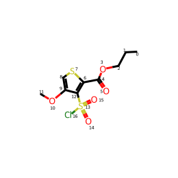 CCCOC(=O)c1scc(OC)c1S(=O)(=O)Cl